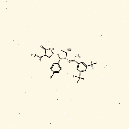 CN[C@@H]1C[C@H]([C@@H]2CC[C@H](O[C@H](C)c3cc(C(F)(F)F)cc(C(F)(F)F)c3)[C@H]2c2ccc(F)cc2)NC1=O.Cl